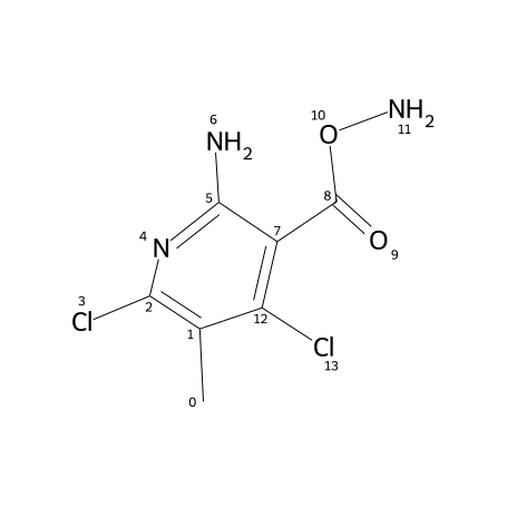 Cc1c(Cl)nc(N)c(C(=O)ON)c1Cl